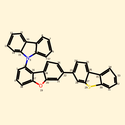 c1cc(-n2c3ccccc3c3ccccc32)c2c(c1)oc1cc(-c3ccc4c(c3)sc3ccccc34)ccc12